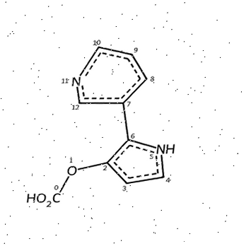 O=C(O)Oc1cc[nH]c1-c1cccnc1